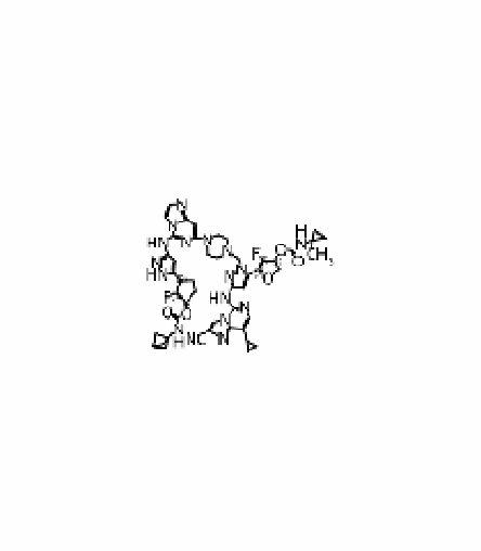 CC1(NC(=O)O[C@H]2CO[C@@H](c3cc(Nc4ncc(C5CC5)c5nc(C#N)cn45)nn3CN3CCN(c4cc5nccn5c(Nc5cc([C@H]6CC[C@@H](OC(=O)NC78CC(C7)C8)[C@H]6F)[nH]n5)n4)CC3)[C@H]2F)CC1